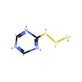 SSSc1ncncn1